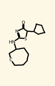 O=C1N=C(NC2CCCCCCC2)SC1C1CCCC1